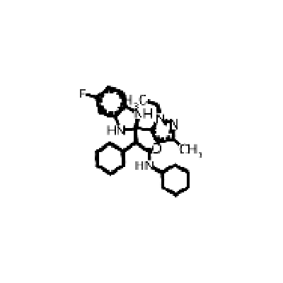 CCn1nc(C)cc1C1(C(C(=O)NC2CCCCC2)C2CCCCC2)Nc2ccc(F)cc2N1